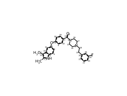 Cc1[nH]c2ccc(Oc3ccc(C(=O)N4CCN(CCc5cccc(F)c5)CC4)cc3)cc2c1C